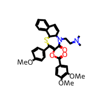 COc1ccc(C2=C(OC(=O)c3ccc(OC)c(OC)c3)C(=O)N(CCN(C)C)C3C=Cc4ccccc4C3S2)cc1